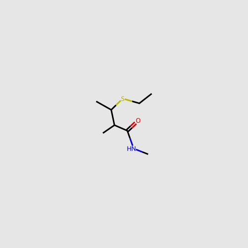 CCSC(C)C(C)C(=O)NC